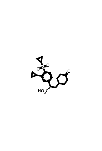 O=C1CCC(C[C@@H](C(=O)O)c2ccc(S(=O)(=O)C3CC3)c(C3CC3)c2)CC1